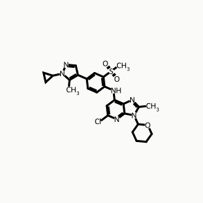 Cc1c(-c2ccc(Nc3cc(Cl)nc4c3nc(C)n4C3CCCCO3)c(S(C)(=O)=O)c2)cnn1C1CC1